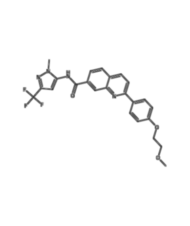 COCCOc1ccc(-c2ccc3ccc(C(=O)Nc4cc(C(F)(F)F)nn4C)cc3n2)cc1